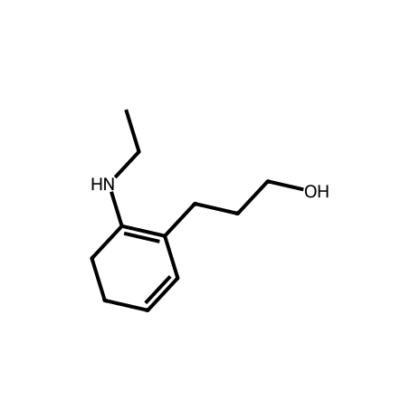 CCNC1=C(CCCO)C=CCC1